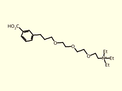 CC[N+](CC)(CC)CCOCCOCCOCCCc1cccc(C(=O)O)c1